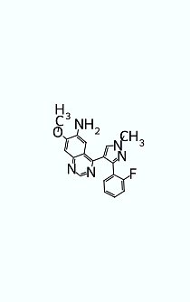 COc1cc2ncnc(-c3cn(C)nc3-c3ccccc3F)c2cc1N